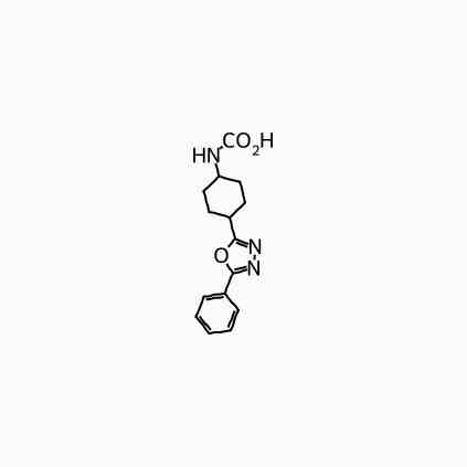 O=C(O)NC1CCC(c2nnc(-c3ccccc3)o2)CC1